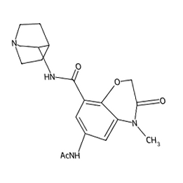 CC(=O)Nc1cc(C(=O)NC2CN3CCC2CC3)c2c(c1)N(C)C(=O)CO2